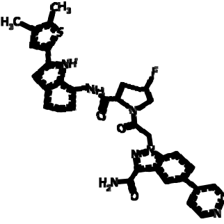 Cc1cc(-c2cc3cccc(NC(=O)C4CC(F)CN4C(=O)Cn4nc(C(N)=O)c5cc(-c6ccnnc6)ccc54)c3[nH]2)sc1C